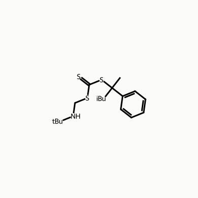 CCC(C)C(C)(SC(=S)SCNC(C)(C)C)c1ccccc1